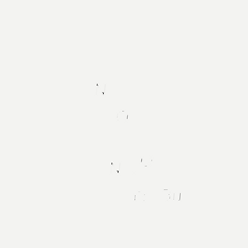 CC(C)(C)OC(=O)N1CCC[C@H](CC(=O)N2CC[CH]CC2)C1